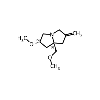 C=C1CN2C[C@@H](OC)C[C@@]2(COC)C1